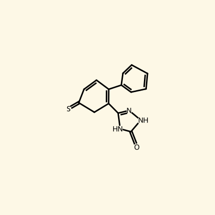 O=c1[nH]nc(C2=C(c3ccccc3)C=CC(=S)C2)[nH]1